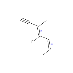 C#C/C(C)=C(F)/C=C\C